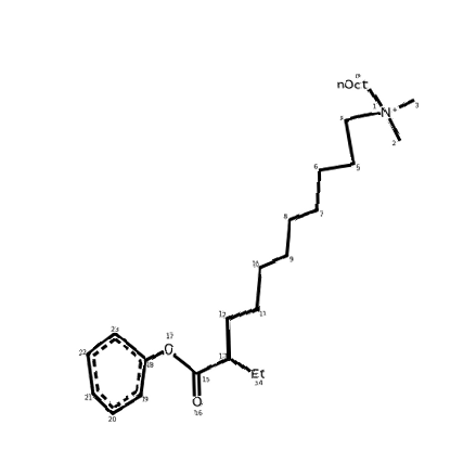 CCCCCCCC[N+](C)(C)CCCCCCCCCC(CC)C(=O)Oc1ccccc1